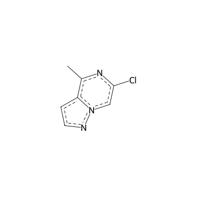 Cc1nc(Cl)cn2nccc12